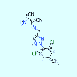 N#C/C(N)=C(C#N)/N=C/c1cnn(-c2c(Cl)cc(C(F)(F)F)cc2Cl)n1